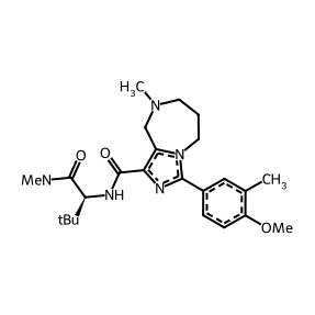 CNC(=O)[C@@H](NC(=O)c1nc(-c2ccc(OC)c(C)c2)n2c1CN(C)CCC2)C(C)(C)C